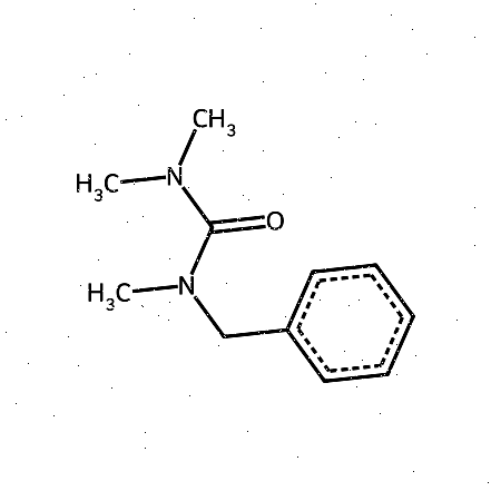 CN(C)C(=O)N(C)Cc1ccccc1